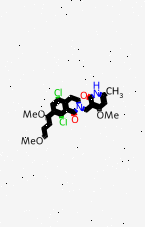 COCCC[C@H](OC)c1cc(Cl)c2c(c1Cl)C(=O)N(Cc1c(OC)cc(C)[nH]c1=O)CC2